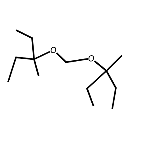 CCC(C)(CC)OCOC(C)(CC)CC